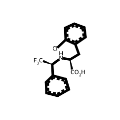 O=C(O)[C@H](Cc1ccccc1Cl)N[C@@H](c1ccccc1)C(F)(F)F